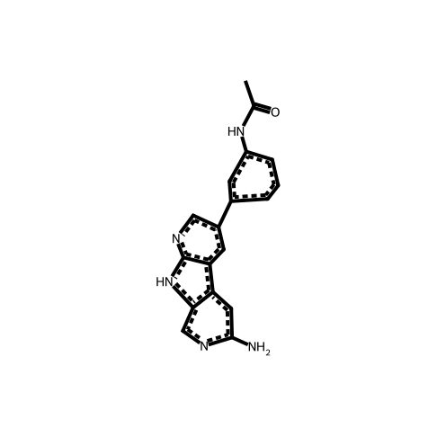 CC(=O)Nc1cccc(-c2cnc3[nH]c4cnc(N)cc4c3c2)c1